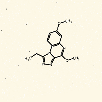 CCc1nnc2c(OC)nc3cc(OC)ccc3n12